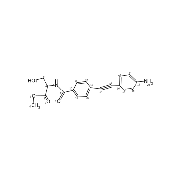 COC(=O)C(CO)NC(=O)c1ccc(C#Cc2ccc(N)cc2)cc1